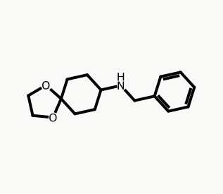 c1ccc(CNC2CCC3(CC2)OCCO3)cc1